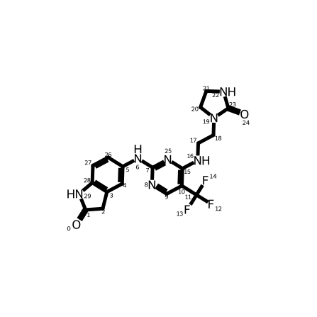 O=C1Cc2cc(Nc3ncc(C(F)(F)F)c(NCCN4CCNC4=O)n3)ccc2N1